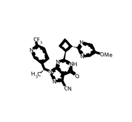 COc1cnc([C@H]2CC[C@@H]2c2nc3c(c(C#N)nn3[C@H](C)c3ccc(C(F)(F)F)nc3)c(=O)[nH]2)nc1